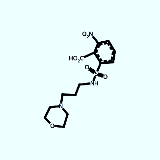 O=C(O)c1c([N+](=O)[O-])cccc1S(=O)(=O)NCCCN1CCOCC1